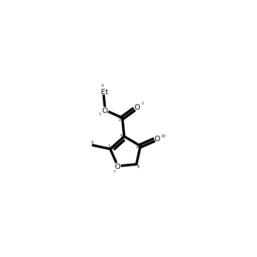 CCOC(=O)C1=C(C)OCC1=O